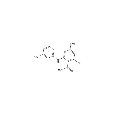 CSc1cc(O)c(C(N)=O)c(Nc2cccc(C)c2)c1